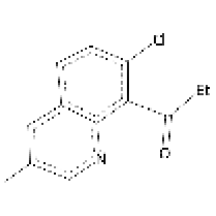 CCC(=O)c1c(Cl)ccc2cc(C)cnc12